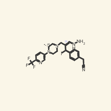 C[C@@H]1CN(C/C(=C/NN)C(I)c2ccc(CC#N)cc2)CCN1c1ccc(C(F)(F)F)nc1